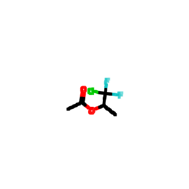 CC(=O)OC(C)C(F)(F)Cl